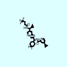 O=C(CCC(F)(F)F)NC(c1cnn2cc([C@@H](NC(=O)c3cc(C4CC4)ccn3)C3CCC(F)(F)CC3)nc2c1)C1CC1